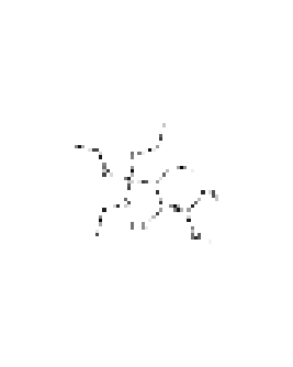 CCO[Si](OCC)(OCC)C(CC)C(N)=C(N)N